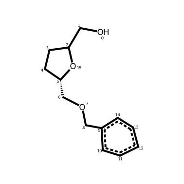 OCC1CC[C@@H](COCc2ccccc2)O1